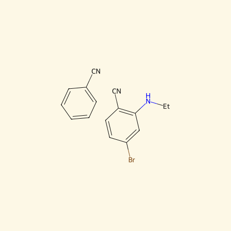 CCNc1cc(Br)ccc1C#N.N#Cc1ccccc1